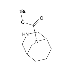 CC(C)(C)OC(=O)N1CC2CCCC1CNC2